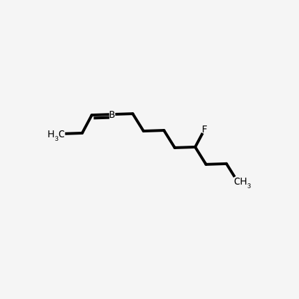 CC/C=B/CCCCC(F)CCC